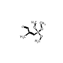 CO[Si](C=C(C)C=O)(OC)OC